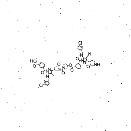 Cc1c(C2CC(=O)N(C(=O)N3CCC(OC(=O)c4cccc(C(=O)n5nc(C6CCNCC6=O)c(C#N)c5N(C)Cc5ccc(Cl)s5)c4)C3)C2)nn(C(=O)c2cccc(C(=O)O)c2)c1N(C)Cc1ccc(Cl)s1